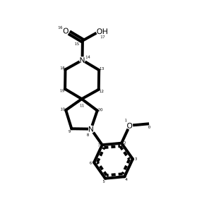 COc1ccccc1N1CCC2(CCN(C(=O)O)CC2)C1